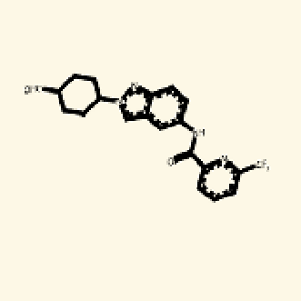 O=CC1CCC(n2cc3cc(NC(=O)c4cccc(C(F)(F)F)n4)ccc3n2)CC1